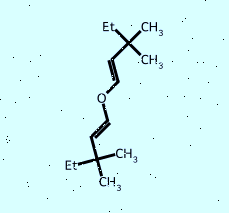 CCC(C)(C)C=COC=CC(C)(C)CC